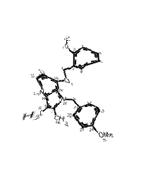 CCOc1ccccc1COc1ccnc2c(C)c(C)n(Cc3ccc(OC)cc3)c12